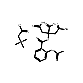 CC(=O)Oc1ccccc1C(=O)OC(CC(=O)O)(CC(=O)O)C(=O)O.C[N+](C)(C)CC(=O)[O-]